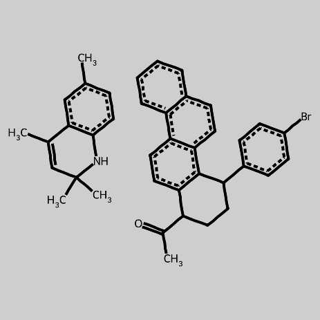 CC(=O)C1CCC(c2ccc(Br)cc2)c2c1ccc1c2ccc2ccccc21.CC1=CC(C)(C)Nc2ccc(C)cc21